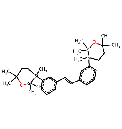 CC1(C)CC[Si](C)(c2cccc(C=Cc3cccc([Si]4(C)CCC(C)(C)O[Si]4(C)C)c3)c2)[Si](C)(C)O1